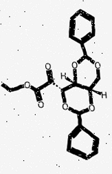 CCOC(=O)C(=O)[C@H]1OC(c2ccccc2)O[C@H]2COC(c3ccccc3)O[C@H]21